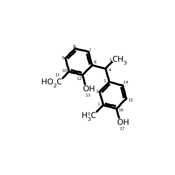 Cc1cc(C(C)c2cccc(C(=O)O)c2O)ccc1O